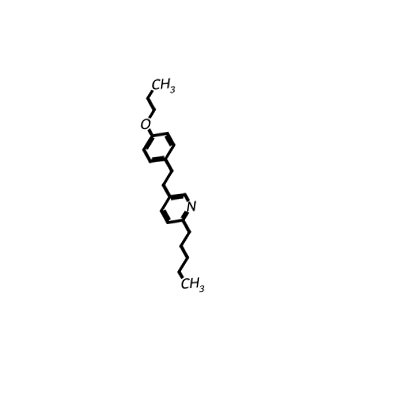 CCCCCc1ccc(CCc2ccc(OCCC)cc2)cn1